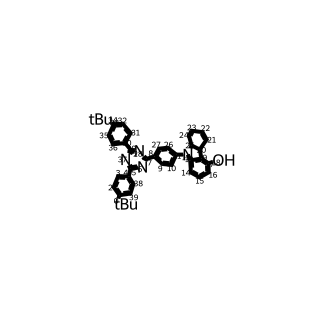 CC(C)(C)c1ccc(-c2nc(-c3ccc(N4c5cccc(O)c5C5C=CC=CC54)cc3)nc(-c3ccc(C(C)(C)C)cc3)n2)cc1